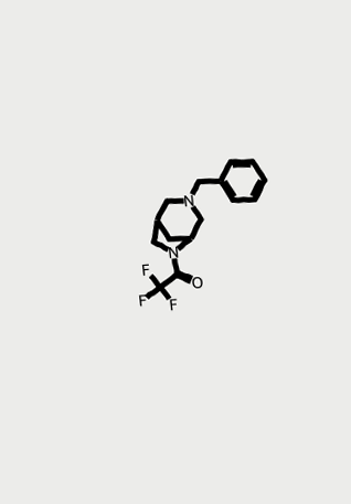 O=C(N1CC2CC1CN(Cc1ccccc1)C2)C(F)(F)F